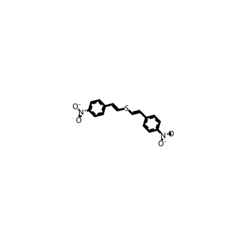 O=[N+]([O-])c1ccc(C=CSC=Cc2ccc([N+](=O)[O-])cc2)cc1